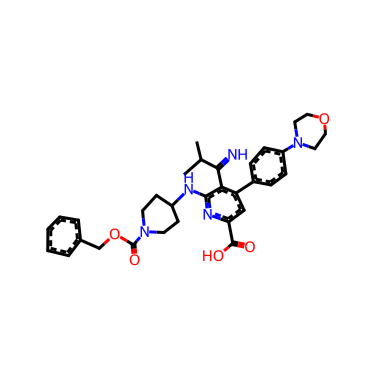 CC(C)C(=N)c1c(-c2ccc(N3CCOCC3)cc2)cc(C(=O)O)nc1NC1CCN(C(=O)OCc2ccccc2)CC1